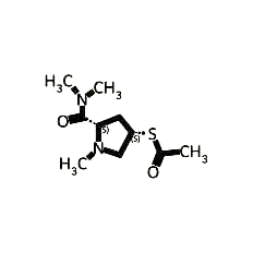 CC(=O)S[C@H]1C[C@@H](C(=O)N(C)C)N(C)C1